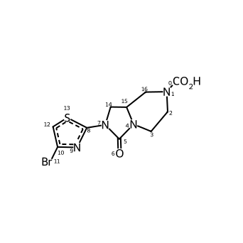 O=C(O)N1CCN2C(=O)N(c3nc(Br)cs3)CC2C1